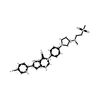 CN(CCS(C)(=O)=O)[C@@H]1CCN(c2ccc(-n3cnc4cc(-c5ccc(F)cn5)sc4c3=O)cc2)C1